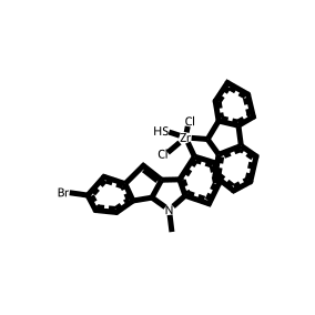 CN1c2ccc[c]([Zr]([SH])([Cl])([Cl])[CH]3c4ccccc4-c4ccccc43)c2C2=Cc3cc(Br)ccc3C21